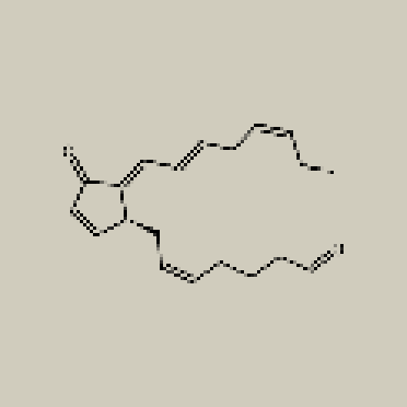 CC/C=C\C/C=C/C=C1/C(=O)C=C[C@@H]1C/C=C\CCCC=O